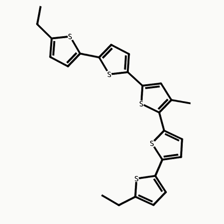 CCc1ccc(-c2ccc(-c3cc(C)c(-c4ccc(-c5ccc(CC)s5)s4)s3)s2)s1